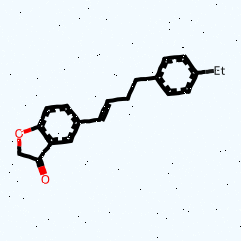 CCc1ccc(CC/C=C/c2ccc3c(c2)C(=O)CO3)cc1